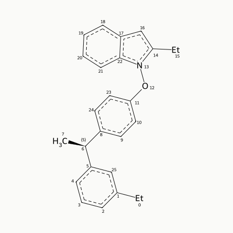 CCc1cccc([C@@H](C)c2ccc(On3c(CC)cc4ccccc43)cc2)c1